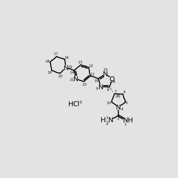 Cl.N=C(N)N1CC[C@@H](c2nc(-c3ccc(N4CCCCC4)nc3)no2)C1